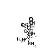 NCCN(CCN)C(=O)C[C@H](N)C(=O)N[C@@H](Cc1cccs1)C(=O)Nc1cnc2ccccc2c1